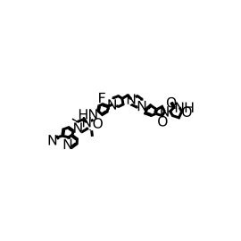 CC[C@@H]1CN(c2ccc(C#N)c3ncccc23)[C@@H](C)CN1C(=O)Nc1ccc(N2CCC(CN3CCN(c4ccc5c(c4)CN([C@H]4CCC(=O)NC4=O)C5=O)CC3)CC2)c(F)c1